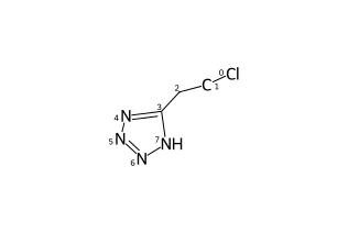 ClCCc1nnn[nH]1